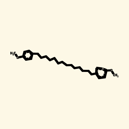 COc1ccc(CCCCCCCCCCCCCCc2ccc(OC)cc2)cc1